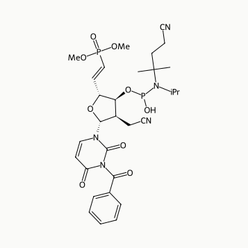 COP(=O)(/C=C/[C@H]1O[C@@H](n2ccc(=O)n(C(=O)c3ccccc3)c2=O)[C@H](CC#N)[C@@H]1OP(O)N(C(C)C)C(C)(C)CCC#N)OC